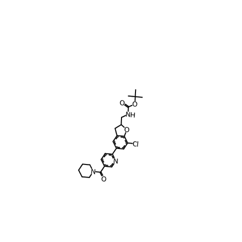 CC(C)(C)OC(=O)NCC1Cc2cc(-c3ccc(C(=O)N4CCCCC4)cn3)cc(Cl)c2O1